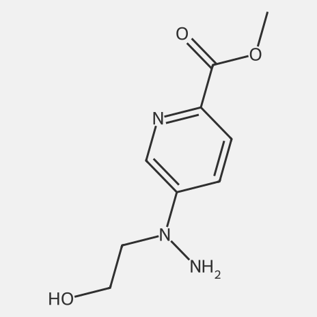 COC(=O)c1ccc(N(N)CCO)cn1